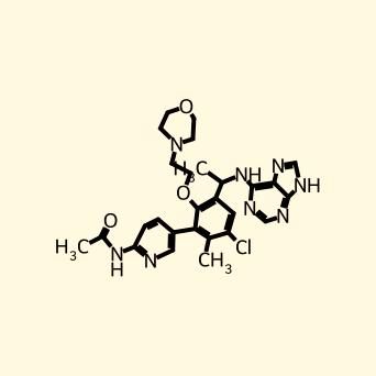 CC(=O)Nc1ccc(-c2c(C)c(Cl)cc(C(C)Nc3ncnc4[nH]cnc34)c2OCCN2CCOCC2)cn1